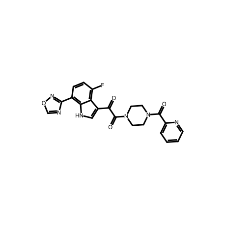 O=C(C(=O)N1CCN(C(=O)c2ccccn2)CC1)c1c[nH]c2c(-c3ncon3)ccc(F)c12